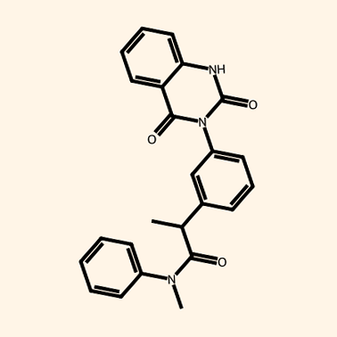 CC(C(=O)N(C)c1ccccc1)c1cccc(-n2c(=O)[nH]c3ccccc3c2=O)c1